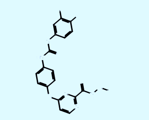 CCONC(=O)c1nccc(Oc2ccc(NC(=O)Nc3ccc(Cl)c(C(F)(F)F)c3)cc2)n1